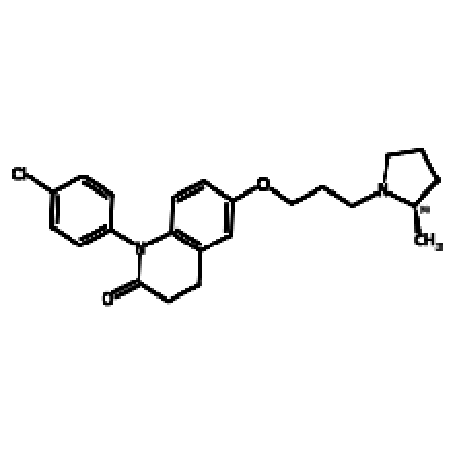 C[C@@H]1CCCN1CCCOc1ccc2c(c1)CCC(=O)N2c1ccc(Cl)cc1